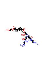 CC(CC(C)(C)C(C)(C(=O)OCC(O)CN(CCC(=O)NCCN)CCC(=O)NCCN)C(C)(C)C)C(C)(C(=O)OCCO)C(C)(C)C